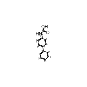 O=C(O)Nc1ccc(-c2ccccc2)cn1